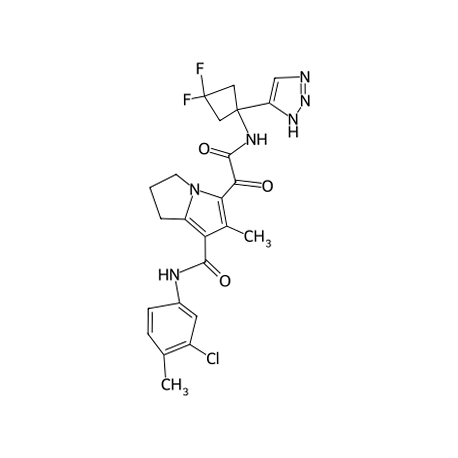 Cc1ccc(NC(=O)c2c(C)c(C(=O)C(=O)NC3(c4cnn[nH]4)CC(F)(F)C3)n3c2CCC3)cc1Cl